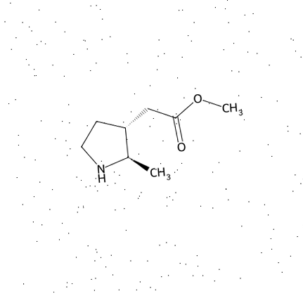 COC(=O)C[C@H]1CCN[C@@H]1C